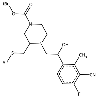 CC(=O)SCC1CN(C(=O)OC(C)(C)C)CCN1CC(O)c1ccc(F)c(C#N)c1C